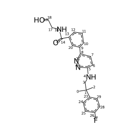 CC(C)(CNc1ccc(-c2cccc(C(=O)NCCO)c2)nn1)c1ccc(F)cc1